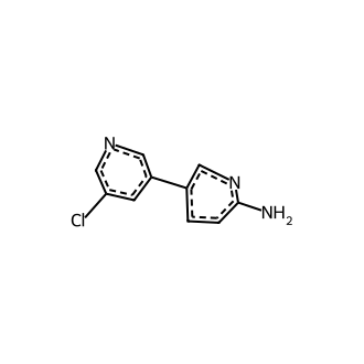 Nc1ccc(-c2cncc(Cl)c2)cn1